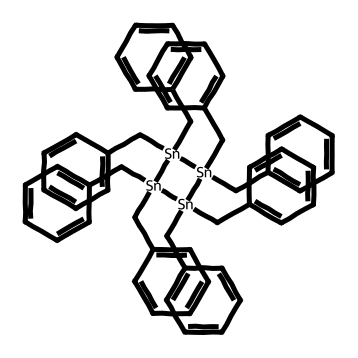 c1ccc([CH2][Sn]2([CH2]c3ccccc3)[Sn]([CH2]c3ccccc3)([CH2]c3ccccc3)[Sn]([CH2]c3ccccc3)([CH2]c3ccccc3)[Sn]2([CH2]c2ccccc2)[CH2]c2ccccc2)cc1